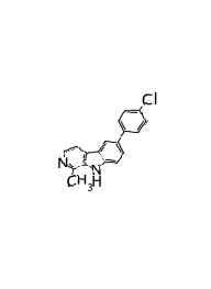 Cc1nccc2c1[nH]c1ccc(-c3ccc(Cl)cc3)cc12